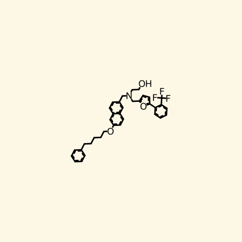 OCCN(Cc1ccc2cc(OCCCCCc3ccccc3)ccc2c1)Cc1ccc(-c2ccccc2C(F)(F)F)o1